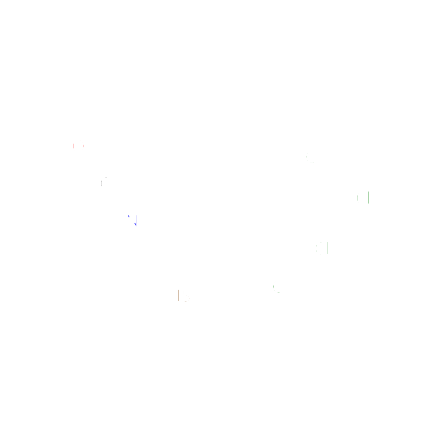 O=C=Nc1ccc(C(Cl)(Cl)Cl)c(Cl)c1S